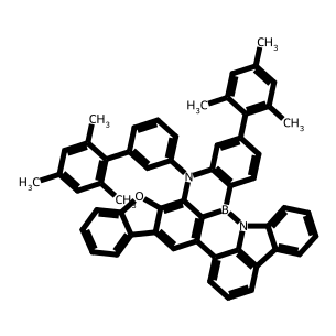 Cc1cc(C)c(-c2cccc(N3c4cc(-c5c(C)cc(C)cc5C)ccc4B4c5c(cc6c(oc7ccccc76)c53)-c3cccc5c6ccccc6n4c35)c2)c(C)c1